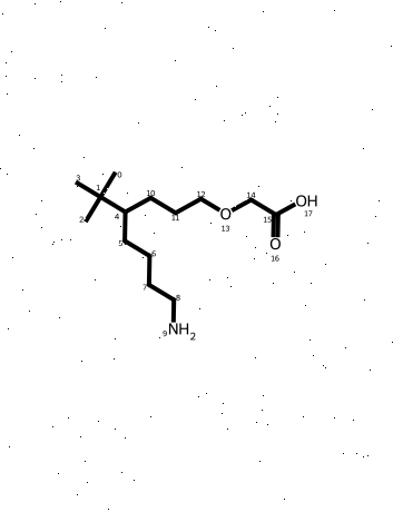 CC(C)(C)C(CCCCN)CCCOCC(=O)O